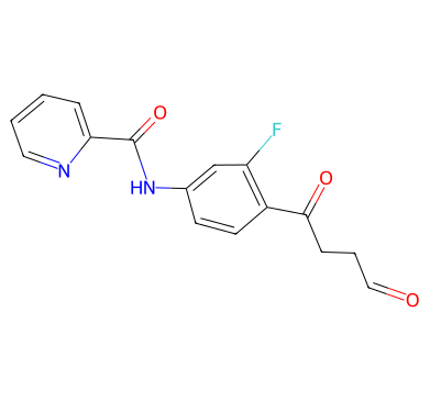 O=CCCC(=O)c1ccc(NC(=O)c2ccccn2)cc1F